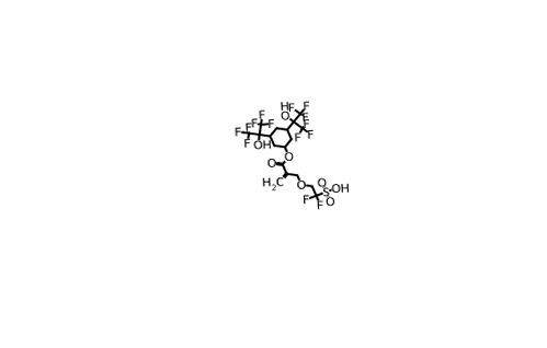 C=C(COCC(F)(F)S(=O)(=O)O)C(=O)OC1CC(C(O)(C(F)(F)F)C(F)(F)F)CC(C(O)(C(F)(F)F)C(F)(F)F)C1